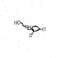 OCCNCc1ccc(Cl)cc1Cl